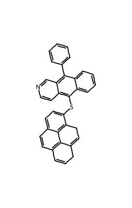 C1=Cc2ccc3ccc(Sc4c5ccccc5c(-c5ccccc5)c5cnccc45)c4c3c2C(=CC4)C1